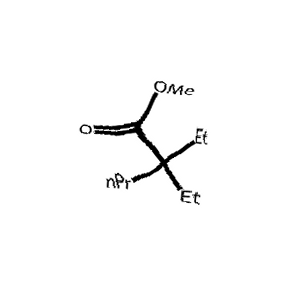 CCCC(CC)(CC)C(=O)OC